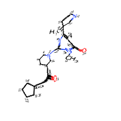 Cn1c(N2CCCC(C(=O)C3CCCC3)C2)nc(C2(C)C=CN=C2)cc1=O